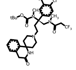 CN(C[C@](CCN1CCC2(CC1)NC(=O)Cc1ccccc12)(c1ccc(Cl)c(Cl)c1)N(C)C(=O)OC(C)(C)C)C(=O)CC(F)(F)F